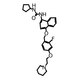 O=C(Nc1ccc(OCc2ccc(OCCN3CCCCC3)cc2F)c2ccccc12)NC1CCCC1